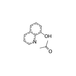 CC(C)=O.Oc1cccc2cccnc12